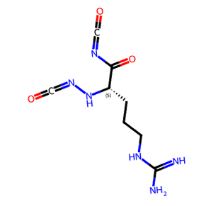 N=C(N)NCCC[C@H](NN=C=O)C(=O)N=C=O